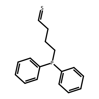 S=CCCCP(c1ccccc1)c1ccccc1